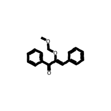 COCOC(=Cc1ccccc1)C(=O)c1ccccc1